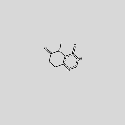 CN1C(=O)CCc2nc[nH]c(=O)c21